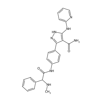 CNC(C(=O)Nc1ccc(-c2n[nH]c(Nc3ccccn3)c2C(N)=O)cc1)c1ccccc1